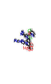 CN(C)C1CN(c2ccc(-n3cc(C(=O)O)c(=O)c4cc(Cl)c(N5C[C@@H](c6cnn(C)c6)C[C@@H]5COc5ncccc5Cl)cc43)cn2)C1